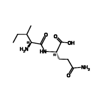 CCC(C)[C@H](N)C(=O)N[C@@H](CCC(N)=O)C(=O)O